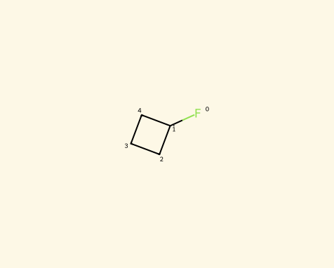 F[C]1CCC1